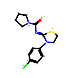 O=C(/N=C1\SCCN1c1ccc(Cl)cc1)N1CCCC1